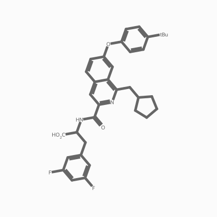 CC(C)(C)c1ccc(Oc2ccc3cc(C(=O)NC(Cc4cc(F)cc(F)c4)C(=O)O)nc(CC4CCCC4)c3c2)cc1